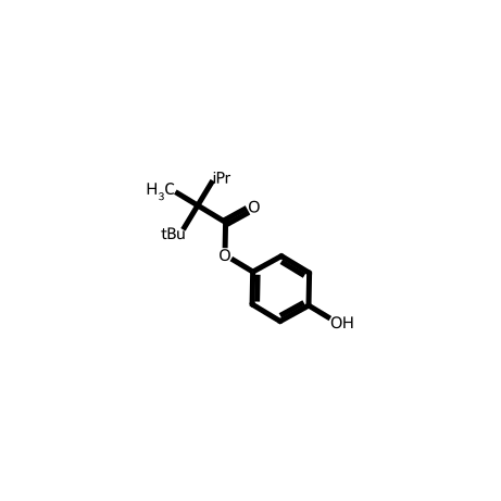 CC(C)C(C)(C(=O)Oc1ccc(O)cc1)C(C)(C)C